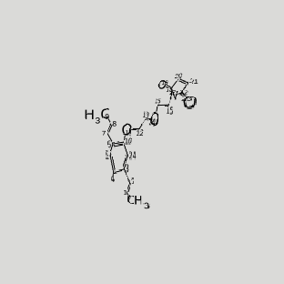 C/C=C/c1ccc(/C=C/C)c(OCCOCCN2C(=O)C=CC2=O)c1